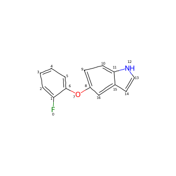 Fc1ccccc1Oc1ccc2[nH]ccc2c1